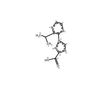 CC(C)c1nccnc1-n1cnc(C(=O)O)n1